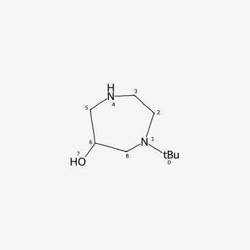 CC(C)(C)N1CCNCC(O)C1